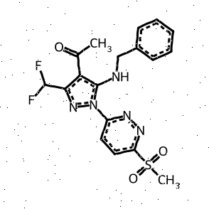 CC(=O)c1c(C(F)F)nn(-c2ccc(S(C)(=O)=O)nn2)c1NCc1ccccc1